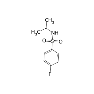 CC(C)NS(=O)(=O)c1ccc(F)cc1